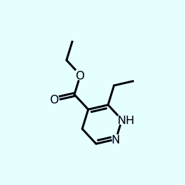 CCOC(=O)C1=C(CC)NN=CC1